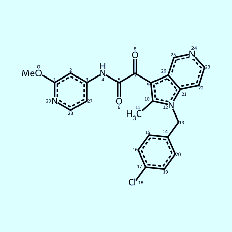 COc1cc(NC(=O)C(=O)c2c(C)n(Cc3ccc(Cl)cc3)c3ccncc23)ccn1